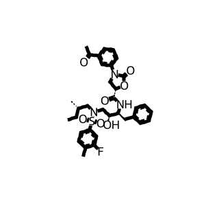 CC[C@H](C)CN(C[C@@H](O)[C@H](Cc1ccccc1)NC(=O)[C@@H]1CN(c2cccc(C(C)=O)c2)C(=O)O1)S(=O)(=O)c1ccc(C)c(F)c1